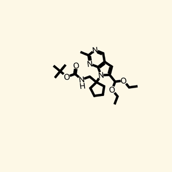 CCOC(OCC)c1cc2cnc(C)nc2n1C1(CNC(=O)OC(C)(C)C)CCCC1